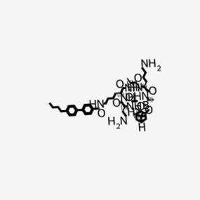 CCCCc1ccc(-c2ccc(C(=O)NCCCC[C@H](NC(=O)[C@H](CCN)NC(C)=O)C(=O)N[C@@H](C)C(=O)N[C@@H](CCCCN)C(=O)N[C@@H](C)B3OC4C[C@@H]5C[C@@H](C5(C)C)[C@]4(C)O3)cc2)cc1